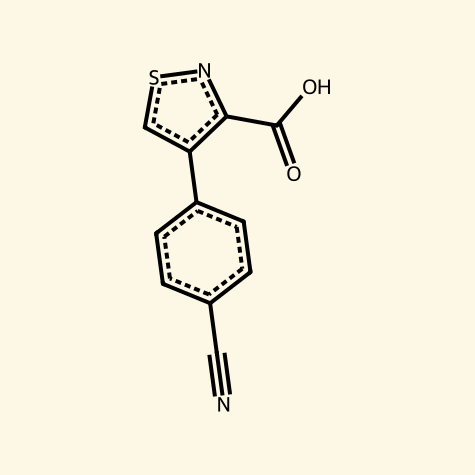 N#Cc1ccc(-c2csnc2C(=O)O)cc1